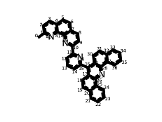 Cc1ccc2ccc3ccc(-c4cccc(-c5c6ccc7ccccc7c6nc6c5ccc5ccccc56)n4)nc3c2n1